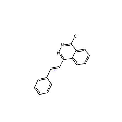 Clc1nnc(/C=C/c2ccccc2)c2ccccc12